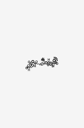 COc1cc(N2CCN(CCCC(=O)Nc3cccc4c3C(=O)N(C3CCC(=O)NC3=O)C4=O)CC2)c(-c2cnn(C)c2)cc1Nc1ncc(Br)c(Nc2ccc3nccnc3c2P(C)(C)=O)n1